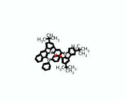 CC(C)(C)c1ccc2c(c1)c1cc(C(C)(C)C)cc3c4nc5c(cc4n2c13)c1cc(C(C)(C)C)cc2c3cc4ccccc4c(N(c4ccccc4)c4ccccc4)c3n5c12